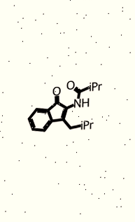 CC(C)CC1=C(NC(=O)C(C)C)C(=O)c2ccccc21